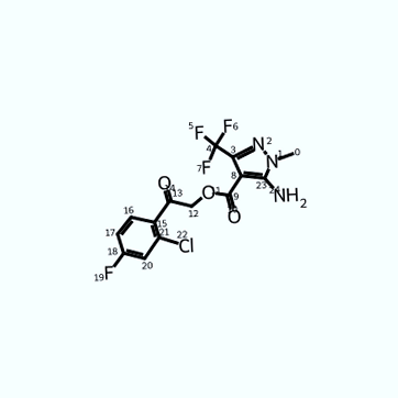 Cn1nc(C(F)(F)F)c(C(=O)OCC(=O)c2ccc(F)cc2Cl)c1N